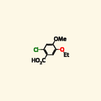 CCOc1cc(C(=O)O)c(Cl)cc1OC